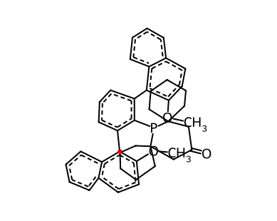 COc1ccc2ccccc2c1-c1cccc(-c2c(OC)ccc3ccccc23)c1P1C2(CCCCC2)CC(=O)CC12CCCCC2